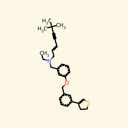 CCN(CC=CC#CC(C)(C)C)Cc1cccc(OCc2cccc(C3=CSCC3)c2)c1